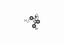 Cc1cccc(N(C2=COCO2)C2=NC(c3cccc(Br)c3)c3ccccc32)c1